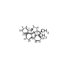 CC(C)=C1CCP(c2ccccc2)C1(c1ccccc1)c1ccccc1